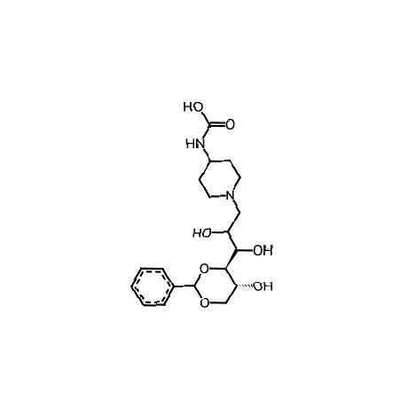 O=C(O)NC1CCN(CC(O)C(O)[C@@H]2OC(c3ccccc3)OC[C@H]2O)CC1